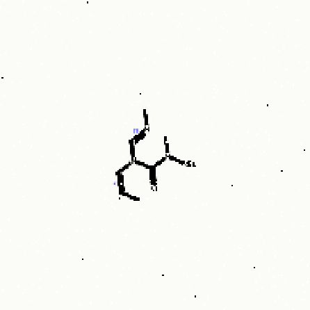 C/C=C\N(/C=N/C)C(=O)N(C)C(C)(C)C